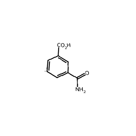 NC(=O)c1c[c]cc(C(=O)O)c1